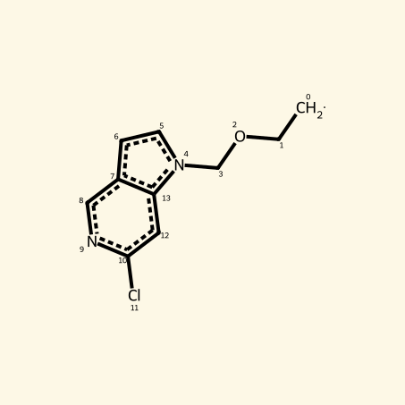 [CH2]COCn1ccc2cnc(Cl)cc21